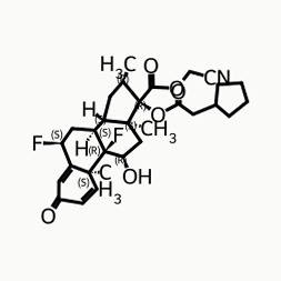 C[C@@H]1C[C@H]2[C@@H]3C[C@H](F)C4=CC(=O)C=C[C@]4(C)[C@@]3(F)[C@H](O)C[C@]2(C)[C@@]1(OC(=O)CC1CCCC1)C(=O)OCC#N